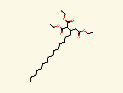 CCCCCCCCCCCCCCCC(CC(=O)OCC)C(C(=O)OCC)C(=O)OCC